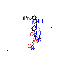 CC(C)Cc1cccc2[nH]c(Cn3cccc(NC(=O)[C@H](CC/C=C/C(=O)N(C)C)NC(=O)N(C)C)c3=O)nc12